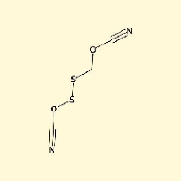 N#COCSSOC#N